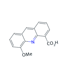 COc1cccc2cc3cccc(C(=O)O)c3nc12